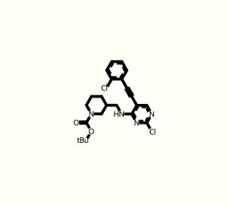 CC(C)(C)OC(=O)N1CCCC(CNc2nc(Cl)ncc2C#Cc2ccccc2Cl)C1